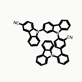 N#Cc1ccc2c(c1)c1ccccc1n2-c1ccc2c3ccccc3n(-c3ccc(-c4ccccc4-n4c5ccccc5c5ccccc54)cc3C#N)c2c1